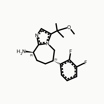 COC(C)(C)c1cnc2n1C[C@H](c1cccc(F)c1F)CC[C@H]2N